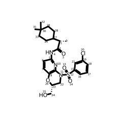 C[C@H](C(=O)Nc1ccc2c(n1)N(S(=O)(=O)c1cccc(Cl)c1)C[C@H](CO)O2)C1CCC(C)(C)CC1